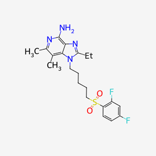 CCc1nc2c(N)nc(C)c(C)c2n1CCCCCS(=O)(=O)c1ccc(F)cc1F